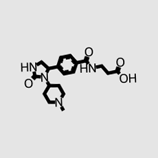 CN1CCC(N2C(=O)NCC2c2ccc(C(=O)NCCC(=O)O)cc2)CC1